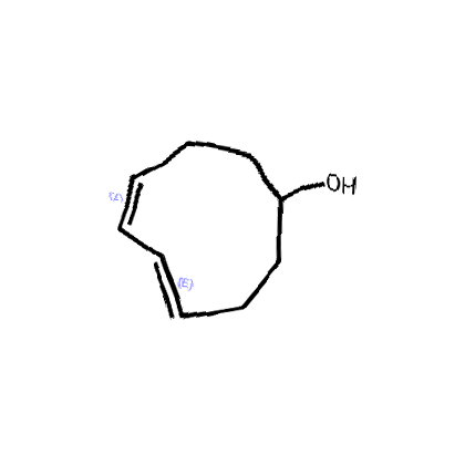 OC1CC/C=C\C=C\CC1